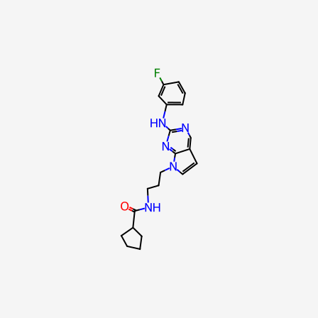 O=C(NCCCn1ccc2cnc(Nc3cccc(F)c3)nc21)C1CCCC1